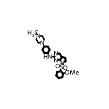 COc1ccccc1S(=O)(=O)n1ccc2cnc(Nc3ccc(N4CCN(C)CC4)cc3)nc21